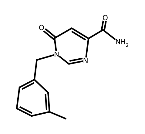 Cc1cccc(Cn2cnc(C(N)=O)cc2=O)c1